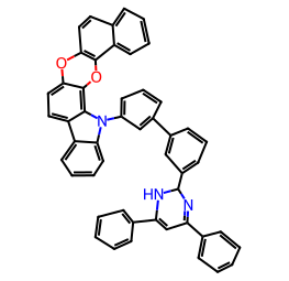 C1=C(c2ccccc2)NC(c2cccc(-c3cccc(-n4c5ccccc5c5ccc6c(c54)Oc4c(ccc5ccccc45)O6)c3)c2)N=C1c1ccccc1